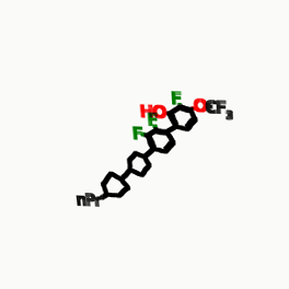 CCCC1CCC(C2CCC(c3ccc(-c4ccc(OC(F)(F)F)c(F)c4O)c(F)c3F)CC2)CC1